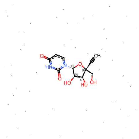 C#C[C@]1(CO)O[C@@H](n2ccc(=O)[nH]c2=O)[C@H](O)[C@@H]1O